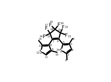 Cc1cc(C)c(C2=C(c3c(C)csc3C)C(F)(F)C(F)(F)C2(F)F)s1